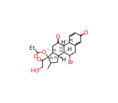 CCC(=O)O[C@]1(C(=O)CO)C(C)C[C@H]2[C@@H]3C(Br)CC4=CC(=O)C=C[C@]4(C)[C@H]3C(=O)C[C@@]21C